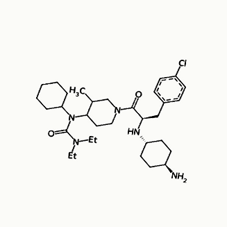 CCN(CC)C(=O)N(C1CCCCC1)C1CCN(C(=O)[C@@H](Cc2ccc(Cl)cc2)N[C@H]2CC[C@H](N)CC2)CC1C